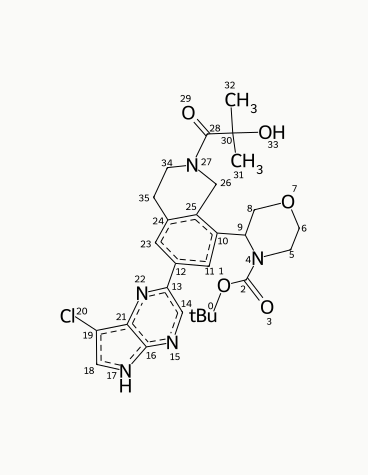 CC(C)(C)OC(=O)N1CCOCC1c1cc(-c2cnc3[nH]cc(Cl)c3n2)cc2c1CN(C(=O)C(C)(C)O)CC2